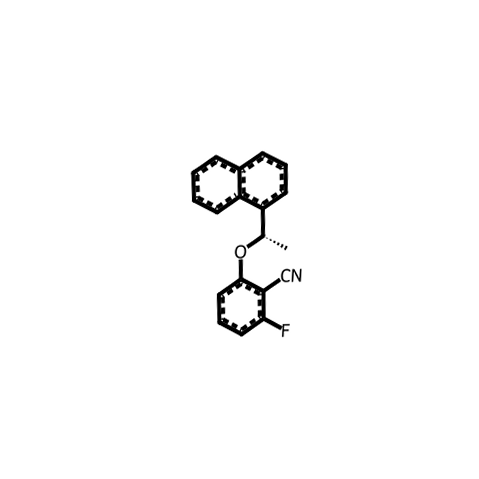 C[C@H](Oc1cccc(F)c1C#N)c1cccc2ccccc12